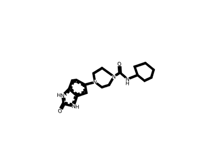 O=C(NC1CCCCC1)N1CCN(c2ccc3[nH]c(=O)[nH]c3c2)CC1